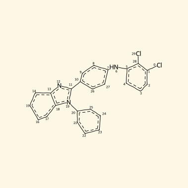 Clc1cccc(Nc2ccc(-c3nc4ccccc4n3-c3ccccc3)cc2)c1Cl